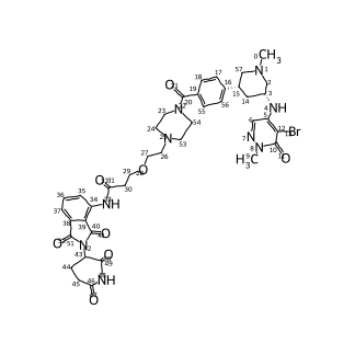 CN1C[C@H](Nc2cnn(C)c(=O)c2Br)C[C@H](c2ccc(C(=O)N3CCN(CCOCCC(=O)Nc4cccc5c4C(=O)N(C4CCC(=O)NC4=O)C5=O)CC3)cc2)C1